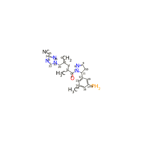 C=C(CC(C)C(=O)N1N=CCC1c1cc(C)cc(P)c1)Cn1cnc(C#N)n1